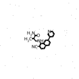 C=C(CNc1c(C#N)ccc2ccc(-c3cccnc3)cc12)C(N)=O